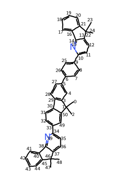 CC1(C)c2cc(-c3ccc(-c4ccc5c(n4)-c4ccccc4C5(C)C)cc3)ccc2-c2ccc(-c3ccc4c(n3)-c3ccccc3C4(C)C)cc21